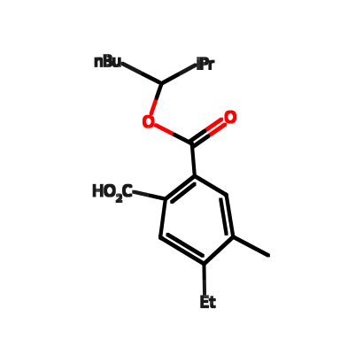 CCCCC(OC(=O)c1cc(C)c(CC)cc1C(=O)O)C(C)C